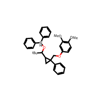 COc1ccc(OCC2(c3ccccc3)CC2C(O[SiH](c2ccccc2)c2ccccc2)C(C)(C)C)cc1OC